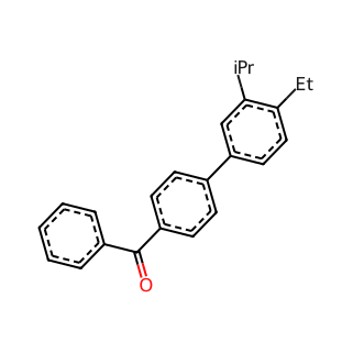 CCc1ccc(-c2ccc(C(=O)c3ccccc3)cc2)cc1C(C)C